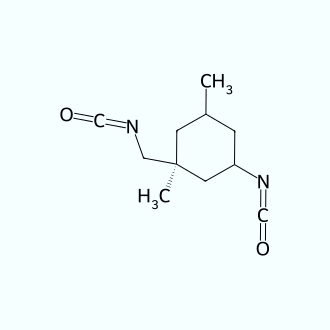 CC1CC(N=C=O)C[C@@](C)(CN=C=O)C1